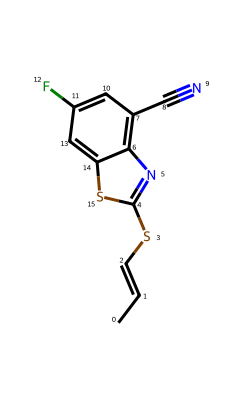 CC=CSc1nc2c(C#N)cc(F)cc2s1